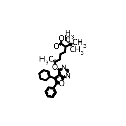 C[C@H](CCCC(C(=O)O)C(C)(C)C)Oc1ncnc2oc(-c3ccccc3)c(C3=CCCCC3)c12